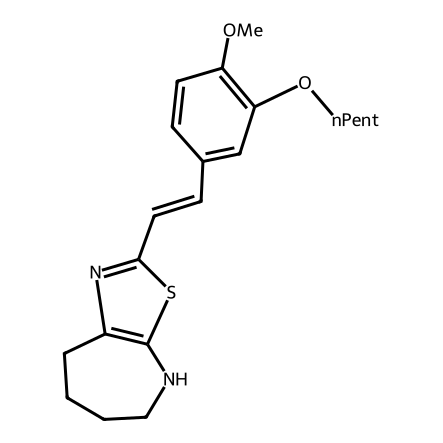 CCCCCOc1cc(/C=C/c2nc3c(s2)NCCCC3)ccc1OC